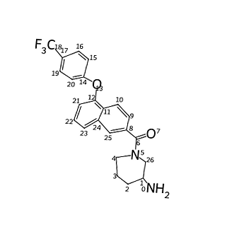 NC1CCCN(C(=O)c2ccc3c(Oc4ccc(C(F)(F)F)cc4)cccc3c2)C1